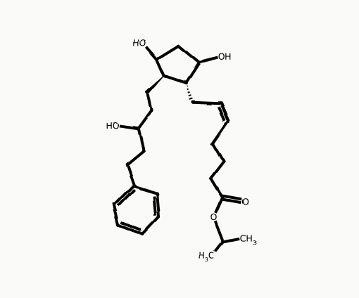 CC(C)OC(=O)CCC/C=C\C[C@H]1C(O)CC(O)[C@@H]1CCC(O)CCc1ccccc1